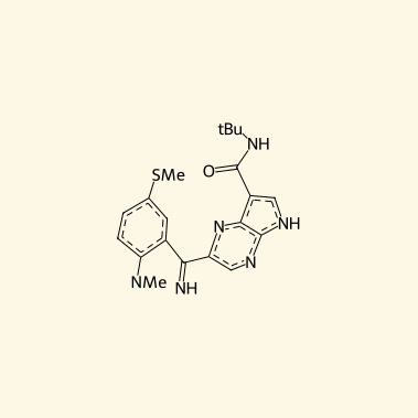 CNc1ccc(SC)cc1C(=N)c1cnc2[nH]cc(C(=O)NC(C)(C)C)c2n1